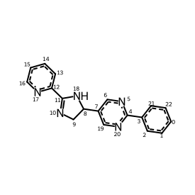 c1ccc(-c2ncc(C3CN=C(c4ccccn4)N3)cn2)cc1